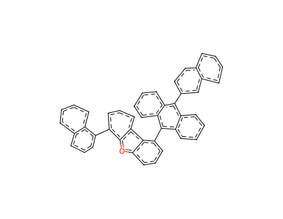 c1ccc2cc(-c3c4ccccc4c(-c4cccc5oc6c(-c7cccc8ccccc78)cccc6c45)c4ccccc34)ccc2c1